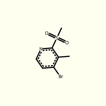 Cc1c(Br)ccnc1S(C)(=O)=O